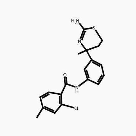 Cc1ccc(C(=O)Nc2cccc(C3(C)CCSC(N)=N3)c2)c(Cl)c1